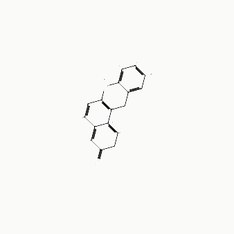 O=C1C=c2ccc3c(c2=CC1)Cc1ccccc1O3